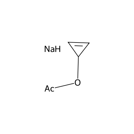 CC(=O)OC1C=C1.[NaH]